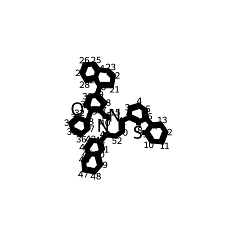 C1=C(c2cccc3c2sc2ccccc23)N=C(c2cc(-c3cccc4ccccc34)cc3oc4ccccc4c23)N=C(c2ccc3ccccc3c2)C1